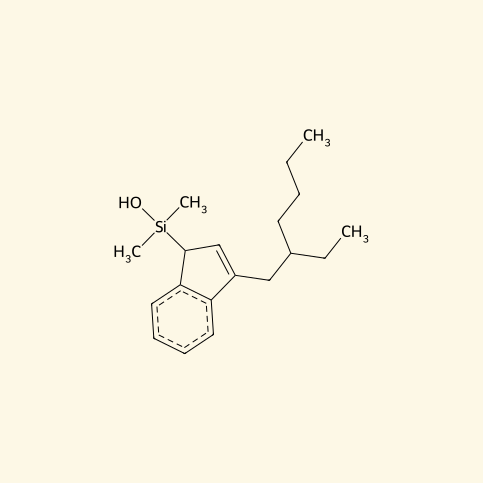 CCCCC(CC)CC1=CC([Si](C)(C)O)c2ccccc21